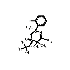 [2H]C([2H])([2H])N=S1(=O)C[C@@](C)(c2ccccc2F)N=C(N)C1(C)C